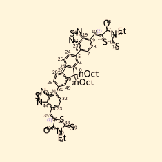 CCCCCCCCC1(CCCCCCCC)c2cc(-c3ccc(/C=C4\SC(=S)N(CC)C4=O)c4nsnc34)ccc2-c2ccc(-c3ccc(/C=C4\SC(=S)N(CC)C4=O)c4nsnc34)cc21